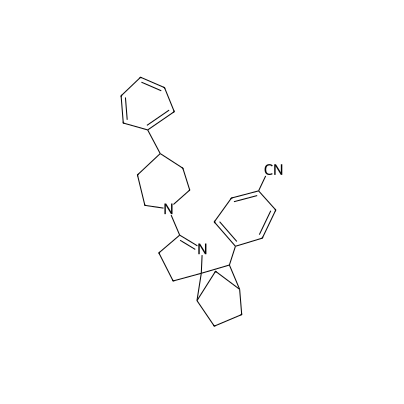 N#Cc1ccc(C2C3CCC(C3)C23CCC(N2CCC(c4ccccc4)CC2)=N3)cc1